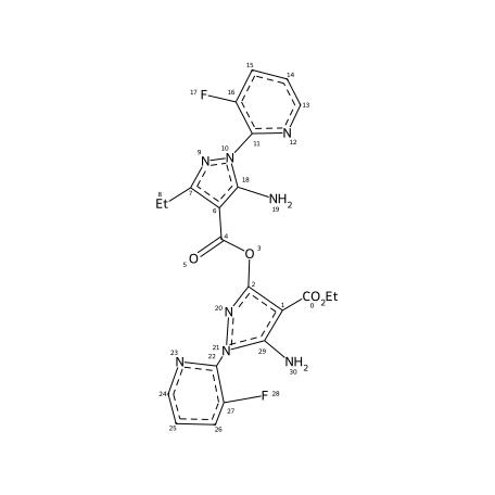 CCOC(=O)c1c(OC(=O)c2c(CC)nn(-c3ncccc3F)c2N)nn(-c2ncccc2F)c1N